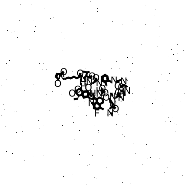 CC[C@H]1C(=O)OCc2c1cc1n(c2=O)Cc2c-1nc1cc(F)c(C)c3c1c2[C@@H](NC(=O)OCc1c(CN(C)C(=O)CN(C)C(=O)CN(C)C(=O)CN(C)C(=O)CN(C)C(=O)CN(C)C(=O)CN(C)C)cccc1NC(=O)CNC(=O)C(NC(=O)CCCCCN1C(=O)C=CC1=O)C(C)C)CC3